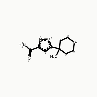 CC1(c2cc(C(N)=O)no2)CCOCC1